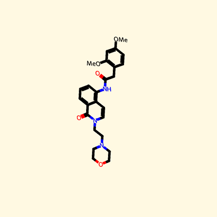 COc1ccc(CC(=O)Nc2cccc3c(=O)n(CCN4CCOCC4)ccc23)c(OC)c1